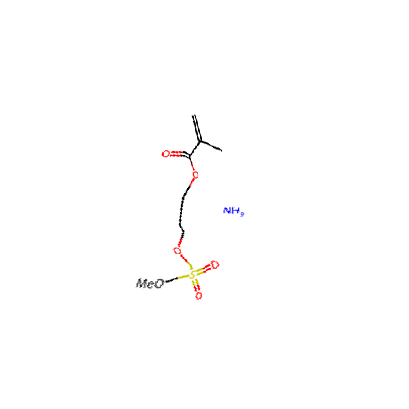 C=C(C)C(=O)OCCOS(=O)(=O)OC.N